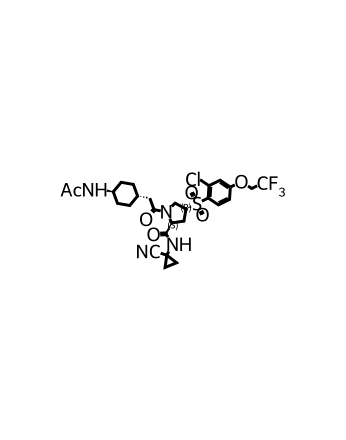 CC(=O)N[C@H]1CC[C@H](CC(=O)N2C[C@H](S(=O)(=O)c3ccc(OCC(F)(F)F)cc3Cl)C[C@H]2C(=O)NC2(C#N)CC2)CC1